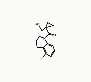 O=C(N1CCCc2c(Br)cccc21)C1(CO)CC1